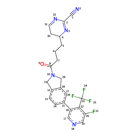 N#CC1=NC(CCCC(=O)N2Cc3ccc(-c4cncc(F)c4C(F)(F)F)cc3C2)CC=N1